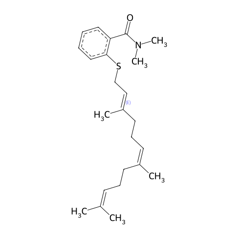 CC(C)=CCCC(C)=CCC/C(C)=C/CSc1ccccc1C(=O)N(C)C